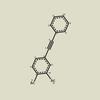 CC(=O)c1ccc(C#Cc2ccccc2)cc1C(C)=O